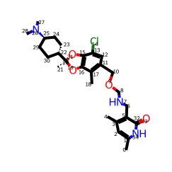 Cc1cc(C)c(CNCOCc2cc(Cl)c3c(c2C)O[C@@](C)([C@H]2CC[C@H](N(C)C)CC2)O3)c(=O)[nH]1